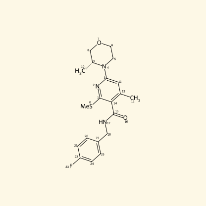 CSc1nc(N2CCOC[C@H]2C)cc(C)c1C(=O)NCc1ccc(F)cc1